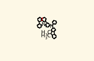 CC1(C)c2ccccc2-c2ccc(N(c3ccccc3)c3ccc4c(c3)c3ccccc3n4-c3ccccc3-c3ccccc3)cc21